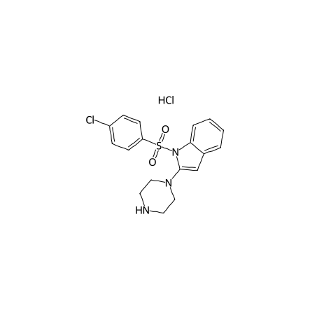 Cl.O=S(=O)(c1ccc(Cl)cc1)n1c(N2CCNCC2)cc2ccccc21